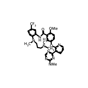 CNc1ncnc(-c2cccnc2Oc2ccc(OC)c(C(=O)Nc3cc(C(F)(F)F)ccc3N(C)CCCN(C)C)c2)n1